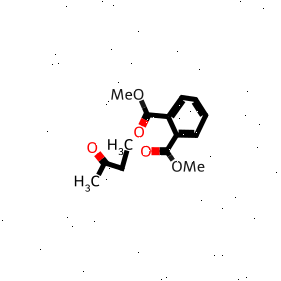 CCC(C)=O.COC(=O)c1ccccc1C(=O)OC